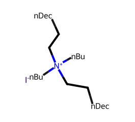 CCCCCCCCCCCC[N+](CCCC)(CCCC)CCCCCCCCCCCC.[I-]